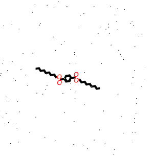 CCCCCCCCCOC(=O)c1ccc(C(=O)OCCCCCCCCC)cc1